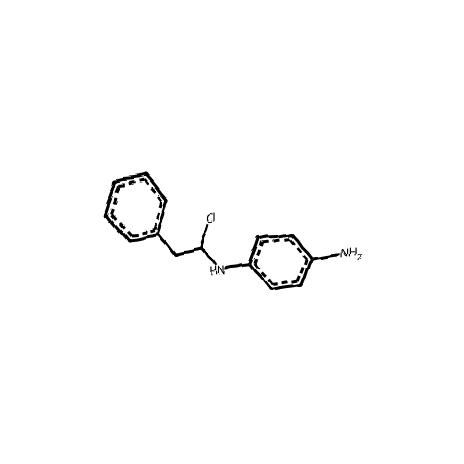 Nc1ccc(NC(Cl)Cc2ccccc2)cc1